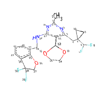 Cc1nc(CC2(C(F)F)CC2)c(C2OCCO2)c(NCc2cccc3c2OCC3(F)F)n1